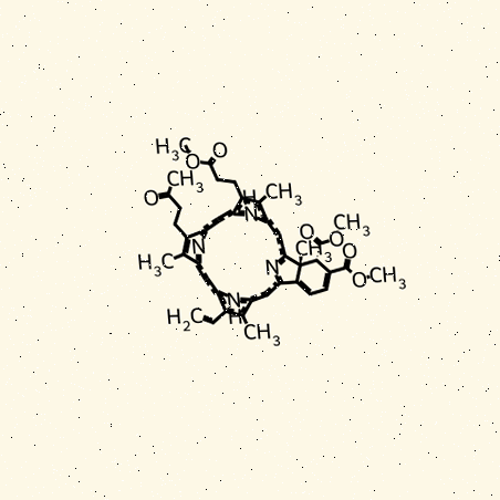 C=Cc1c(C)c2cc3nc(cc4[nH]c(cc5nc(cc1[nH]2)C(C)=C5CCC(C)=O)c(CCC(=O)OC)c4C)[C@@]1(C)C3=CC=C(C(=O)OC)[C@H]1C(=O)OC